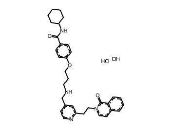 Cl.Cl.O=C(NC1CCCCC1)c1ccc(OCCCNCc2ccnc(CCn3ccc4ccccc4c3=O)c2)cc1